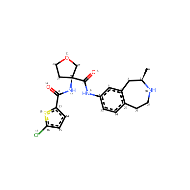 C[C@@H]1Cc2cc(NC(=O)[C@]3(NC(=O)c4ccc(Cl)s4)CCOC3)ccc2CCN1